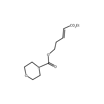 CCOC(=O)C=CCCOC(=O)N1CCOCC1